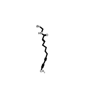 CC#CC#CCCCCC=CC(=O)NCC(C)CC